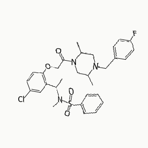 CC1CN(C(=O)COc2ccc(Cl)cc2C(C)N(C)S(=O)(=O)c2ccccc2)C(C)CN1Cc1ccc(F)cc1